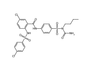 CCCCN(C(N)=O)S(=O)(=O)c1ccc(NC(=O)c2cc(Cl)ccc2NS(=O)(=O)c2ccc(Cl)cc2)cc1